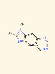 Cn1c(C(F)(F)F)nc2cc3[c]ncnc3cc21